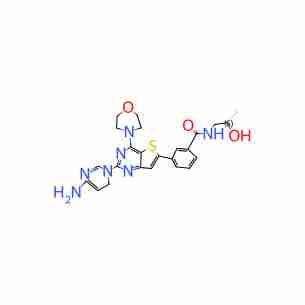 C[C@H](O)CNC(=O)c1cccc(-c2cc3nc(N4C=NC(N)=CC4)nc(N4CCOCC4)c3s2)c1